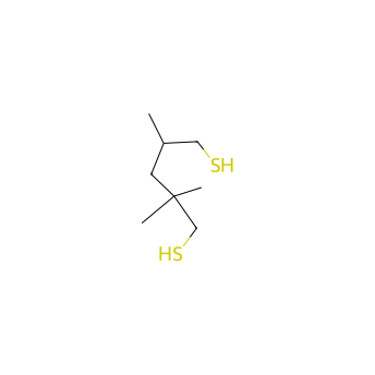 CC(CS)CC(C)(C)CS